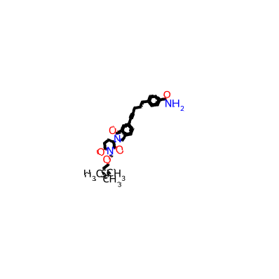 C[Si](C)(C)CCOCN1C(=O)CCC(N2Cc3ccc(C#CCCCc4ccc(C(N)=O)cc4)cc3C2=O)C1=O